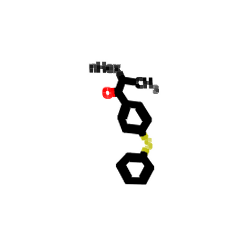 CCCCCCC(C)C(=O)c1ccc(Sc2ccccc2)cc1